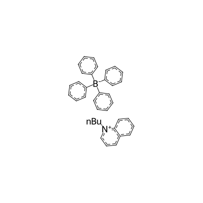 CCCC[n+]1cccc2ccccc21.c1ccc([B-](c2ccccc2)(c2ccccc2)c2ccccc2)cc1